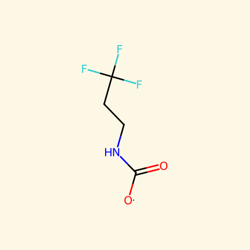 [O]C(=O)NCCC(F)(F)F